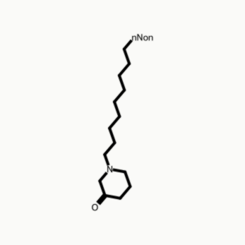 CCCCCCCCCCCCCCCCCCN1CCCC(=O)C1